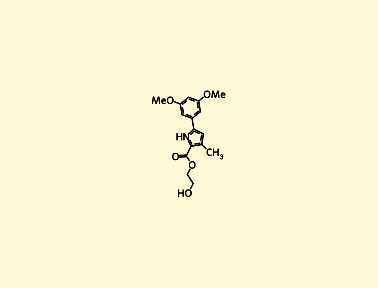 COc1cc(OC)cc(-c2cc(C)c(C(=O)OCCO)[nH]2)c1